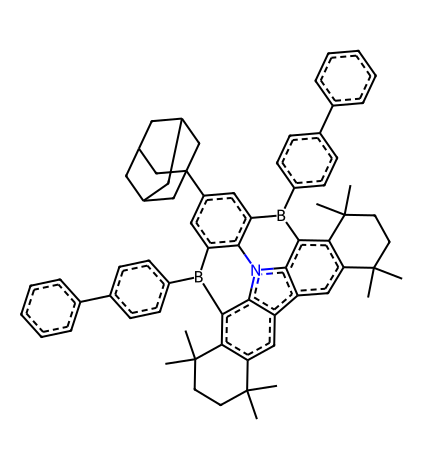 CC1(C)CCC(C)(C)c2c1cc1c3cc4c(c5c3n3c1c2B(c1ccc(-c2ccccc2)cc1)c1cc(C26CC7CC(CC(C7)C2)C6)cc(c1-3)B5c1ccc(-c2ccccc2)cc1)C(C)(C)CCC4(C)C